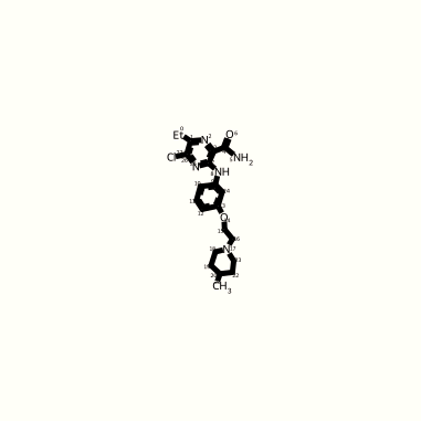 CCc1nc(C(N)=O)c(Nc2cccc(OCCN3CCC(C)CC3)c2)nc1Cl